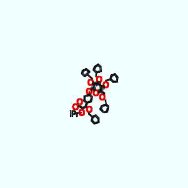 CC(C)Oc1c(OCc2ccccc2)c2ccc(O[C@@H]3O[C@H](COCc4ccccc4)[C@H](OCc4ccccc4)[C@H](OCc4ccccc4)[C@H]3OCc3ccccc3)cc2oc1=O